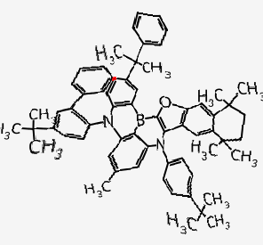 Cc1cc2c3c(c1)N(c1ccc(C(C)(C)C)cc1)c1c(oc4cc5c(cc14)C(C)(C)CCC5(C)C)B3c1cc(C(C)(C)c3ccccc3)ccc1N2c1ccc(C(C)(C)C)cc1-c1ccccc1